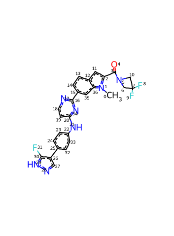 Cn1c(C(=O)N2CC(F)(F)C2)cc2ccc(-c3nccc(Nc4ccc(-c5cn[nH]c5F)cc4)n3)cc21